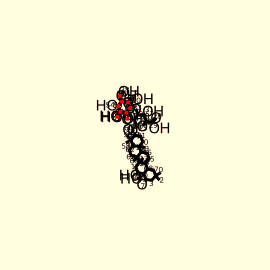 CC1(C)CC[C@]2(C(=O)O)C(O)CC3(C)C(=CCC4C5(C)CC[C@H](O[C@@H]6OC(C(=O)O)[C@@H](O)C(O[C@@H]7OC(CO)CC(O)C7O)C6O[C@@H]6OC(CO)[C@H](O)C(O)C6O)C(C)(C=O)C5CCC43C)C2C1